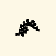 C/C=C/CC(=O)O[C@H](C(=O)N[C@@H](C)C(=O)N1CCC[C@@H](C(=O)NC(C)C)N1)C(C)C